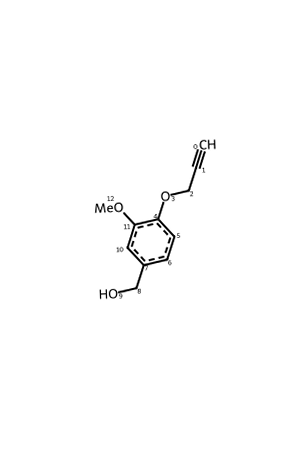 C#CCOc1ccc(CO)cc1OC